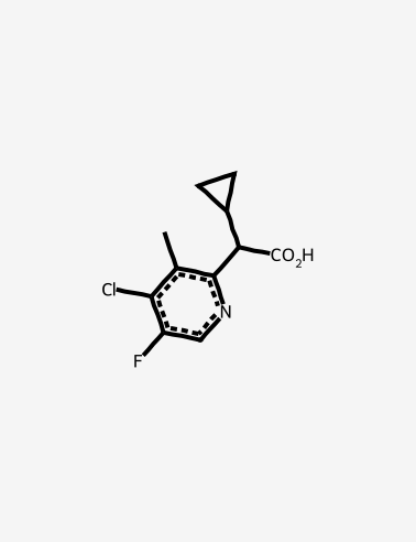 Cc1c(C(C(=O)O)C2CC2)ncc(F)c1Cl